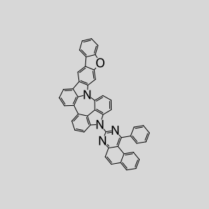 c1ccc(-c2nc(-n3c4cccc5c6cccc7c8cc9c(cc8n(c8cccc3c8c54)c67)oc3ccccc39)nc3ccc4ccccc4c23)cc1